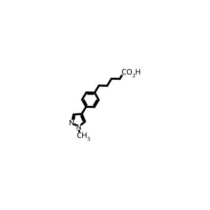 Cn1cc(-c2ccc(CCCCC(=O)O)cc2)cn1